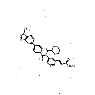 [2H]C(c1ccc(-c2ccc3c(cnn3C)c2)cc1)N(C(=O)C1CCCCC1)c1cncc(/C=C/C(=O)OC)c1